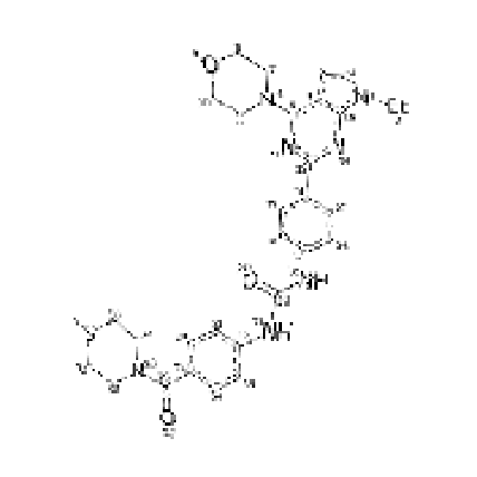 CCn1ccc2c(N3CCOCC3)nc(-c3ccc(NC(=O)Nc4ccc(C(=O)N5CCSCC5)cc4)cc3)nc21